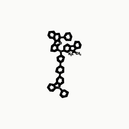 CC1(C)c2ccccc2-c2ccc(N(c3ccc(-c4ccc(-c5ccc6c(c5)c5ccccc5n6-c5ccccc5)cc4)cc3)c3cccc4c3oc3c(-c5ccccc5)cc5ccccc5c34)cc21